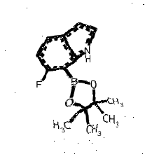 CC1(C)OB(c2c(F)ccc3cc[nH]c23)OC1(C)C